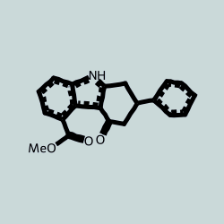 COC(=O)c1cccc2[nH]c3c(c12)C(=O)CC(c1ccccc1)C3